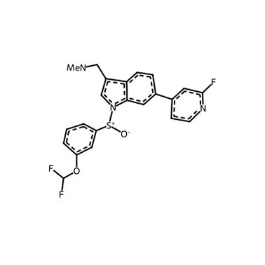 CNCc1cn([S+]([O-])c2cccc(OC(F)F)c2)c2cc(-c3ccnc(F)c3)ccc12